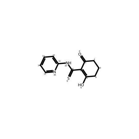 O=C1CCCC(O)=C1C(=S)Nc1ccccn1